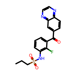 CCCS(=O)(=O)Nc1cccc(C(=O)c2ccc3nccnc3c2)c1F